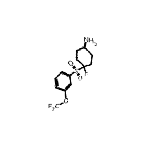 NC1CCC(F)(S(=O)(=O)c2cccc(OC(F)(F)F)c2)CC1